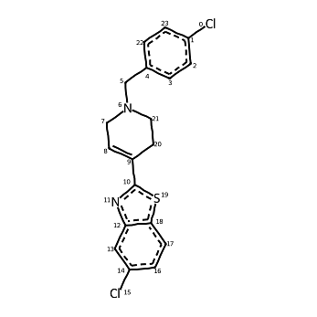 Clc1ccc(CN2CC=C(c3nc4cc(Cl)ccc4s3)CC2)cc1